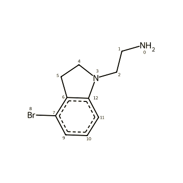 NCCN1CCc2c(Br)cccc21